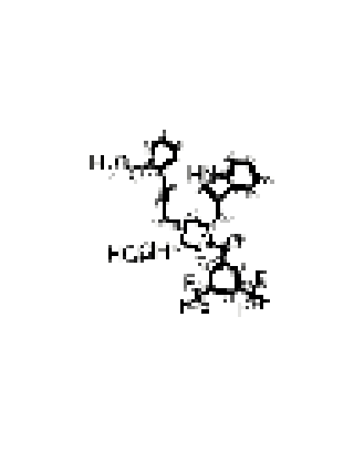 COc1ncccc1C#CCN1CCN(C(=O)c2cc(C(F)(F)F)cc(C(F)(F)F)c2)[C@H](Cc2c[nH]c3ccccc23)C1.Cl.Cl